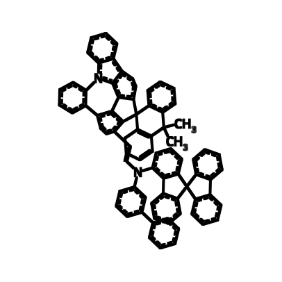 CC1(C)C2=C(CCC=C2)C2(c3ccccc31)c1ccc3c4ccccc4n4c3c1-c1c(ccc(C=CN(c3cccc(-c5ccccc5)c3)c3cccc5c3-c3ccccc3C53c5ccccc5-c5ccccc53)c12)-c1ccccc1-4